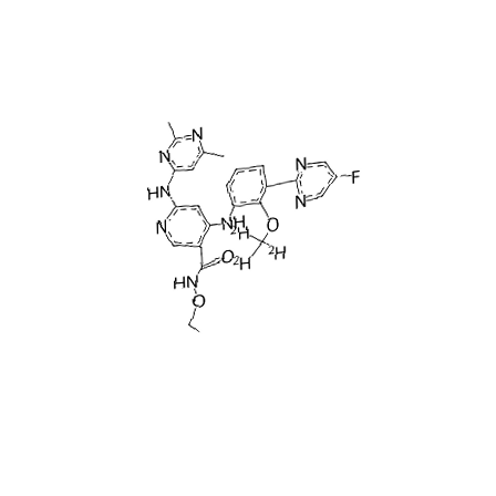 [2H]C([2H])([2H])Oc1c(Nc2cc(Nc3cc(C)nc(C)n3)ncc2C(=O)NOCC)cccc1-c1ncc(F)cn1